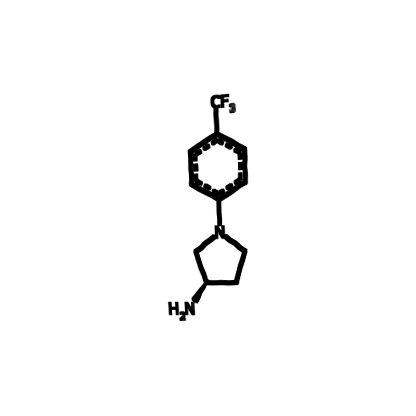 N[C@@H]1CCN(c2ccc(C(F)(F)F)cc2)C1